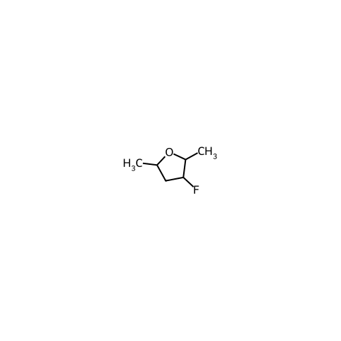 CC1CC(F)C(C)O1